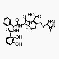 Cn1nnnc1SCC1=C(C(=O)O)N2C(=O)C(NC(=O)C(NC(=O)c3cccc(O)c3O)c3ccccc3)[C@H]2SC1